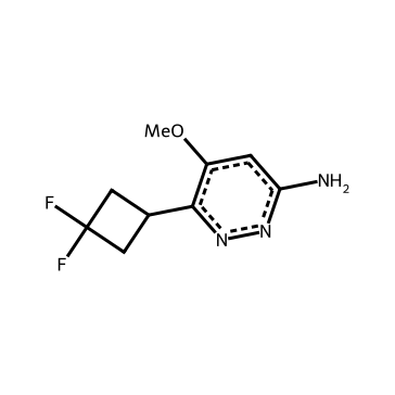 COc1cc(N)nnc1C1CC(F)(F)C1